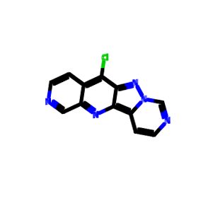 Clc1c2ccncc2nc2c1nn1cnccc21